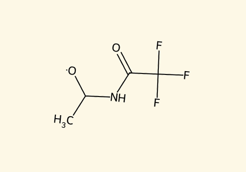 CC([O])NC(=O)C(F)(F)F